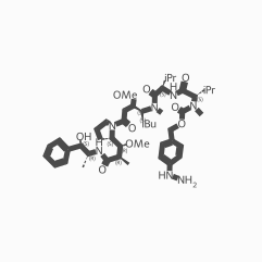 CC[C@H](C)[C@@H](C(CC(=O)N1CCC[C@H]1[C@H](OC)[C@@H](C)C(=O)N[C@H](C)[C@@H](O)c1ccccc1)OC)N(C)C(=O)[C@@H](NC(=O)[C@H](C(C)C)N(C)C(=O)OCc1ccc(NN)cc1)C(C)C